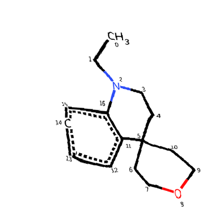 CCN1CCC2(CCOCC2)c2ccccc21